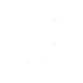 CCN1C(=O)c2c(cccc2C(F)(F)F)C2CNCC21